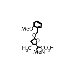 CNC(C(=O)O)[C@@H]1OC(OCc2ccccc2OC)C[C@H]1C